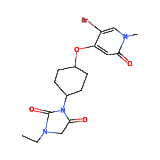 CCN1CC(=O)N(C2CCC(Oc3cc(=O)n(C)cc3Br)CC2)C1=O